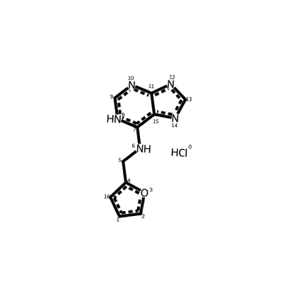 Cl.c1coc(CNc2[nH]cnc3ncnc2-3)c1